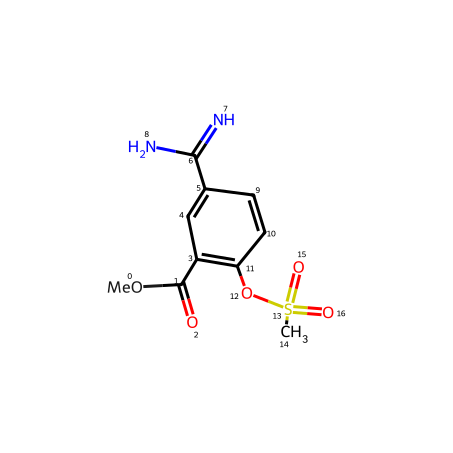 COC(=O)c1cc(C(=N)N)ccc1OS(C)(=O)=O